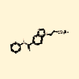 CCOC(=O)CCn1cnc2cc(C(=O)Nc3ccccc3)ccc21